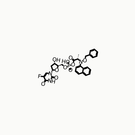 C[C@@H](C(=O)OP(=O)(O)OC[C@H]1O[C@@H](n2cc(F)c(=O)[nH]c2=O)C[C@@H]1O)N(OCc1ccccc1)c1cccc2ccccc12